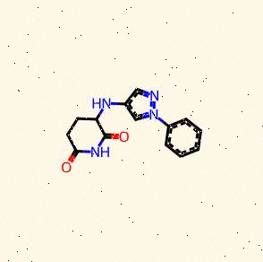 O=C1CCC(Nc2cnn(-c3ccccc3)c2)C(=O)N1